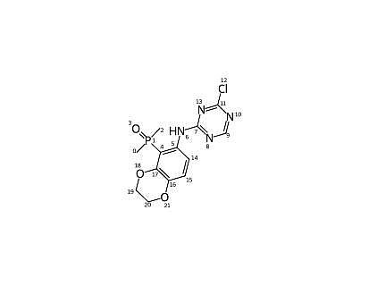 CP(C)(=O)c1c(Nc2ncnc(Cl)n2)ccc2c1OCCO2